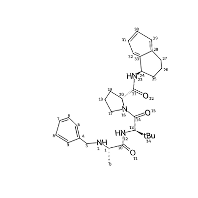 C[C@H](NCc1ccccc1)C(=O)N[C@@H](C(=O)N1CCC[C@@H]1C(=O)N[C@@H]1CCCc2ccccc21)C(C)(C)C